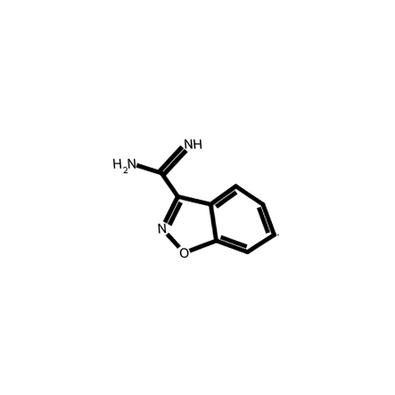 N=C(N)c1noc2c[c]ccc12